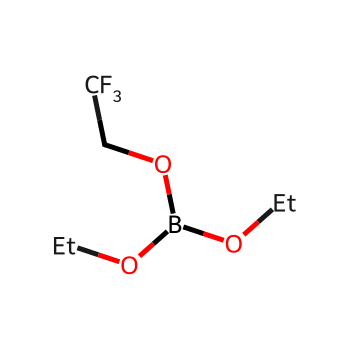 CCOB(OCC)OCC(F)(F)F